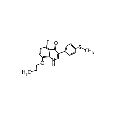 CCCOc1ccc(F)c2c(=O)c(-c3ccc(SC)cc3)c[nH]c12